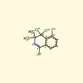 CC1(C)N=C(Br)c2cccc(F)c2C1(Cl)Cl